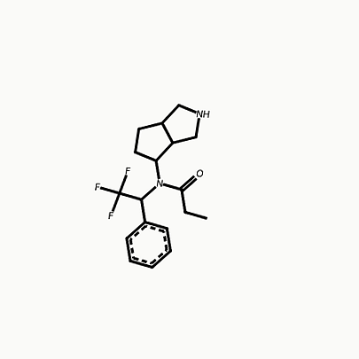 CCC(=O)N(C1CCC2CNCC21)C(c1ccccc1)C(F)(F)F